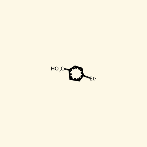 C[CH]c1ccc(C(=O)O)cc1